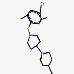 Cc1cc(SN2CCC(N3CCC(C)CC3)CC2)c(C)cc1Cl